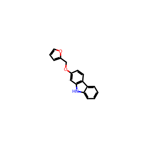 [c]1c(OCc2ccco2)ccc2c1[nH]c1ccccc12